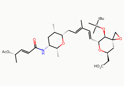 CC(=O)O[C@@H](C)C=CC(=O)N[C@@H]1C[C@H](C)[C@H](CC=C(C)C=C[C@H]2O[C@H](CC(=O)O)C[C@@]3(CO3)[C@@H]2O[Si](C)(C)C(C)(C)C)O[C@@H]1C